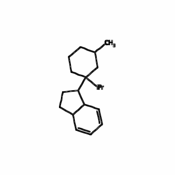 CC1CCCC(C(C)C)(C2CCC3C=CC=CC32)C1